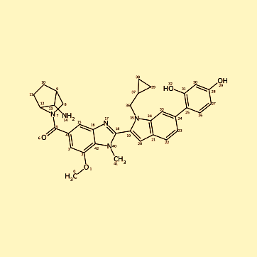 COc1cc(C(=O)N2CC3CCC2C3N)cc2nc(-c3cc4ccc(-c5ccc(O)cc5O)cc4n3CC3CC3)n(C)c12